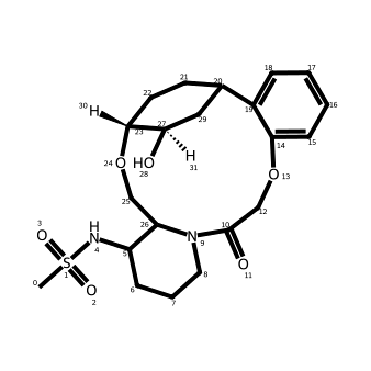 CS(=O)(=O)NC1CCCN2C(=O)COc3ccccc3C3CC[C@@H](OCC12)[C@H](O)C3